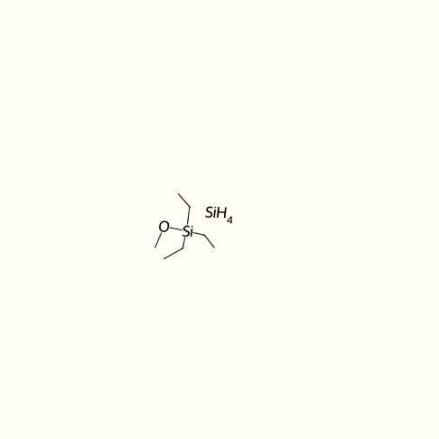 CC[Si](CC)(CC)OC.[SiH4]